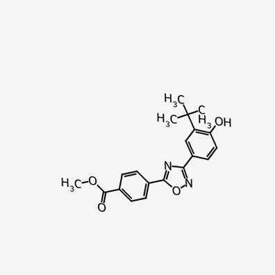 COC(=O)c1ccc(-c2nc(-c3ccc(O)c(C(C)(C)C)c3)no2)cc1